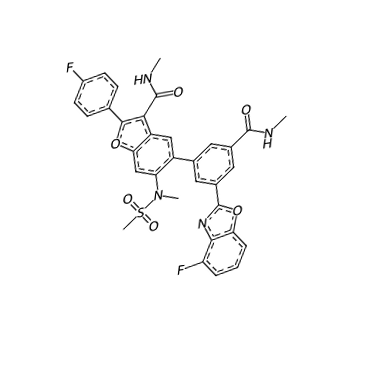 CNC(=O)c1cc(-c2nc3c(F)cccc3o2)cc(-c2cc3c(C(=O)NC)c(-c4ccc(F)cc4)oc3cc2N(C)S(C)(=O)=O)c1